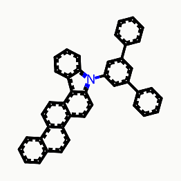 c1ccc(-c2cc(-c3ccccc3)cc(-n3c4ccccc4c4c5ccc6c7ccccc7ccc6c5ccc43)c2)cc1